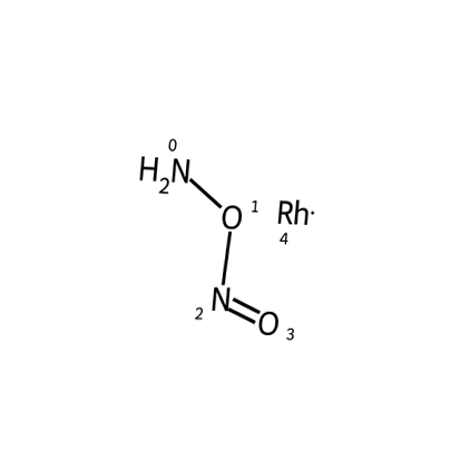 NON=O.[Rh]